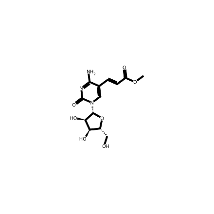 COC(=O)C=Cc1cn([C@@H]2O[C@H](CO)[C@@H](O)[C@H]2O)c(=O)nc1N